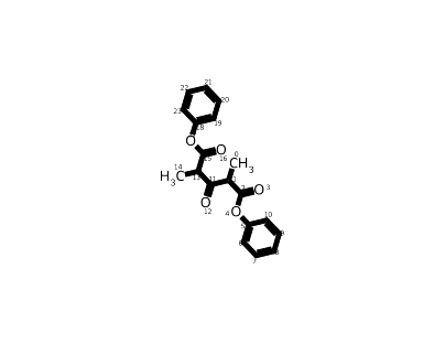 CC(C(=O)Oc1ccccc1)C(=O)C(C)C(=O)Oc1ccccc1